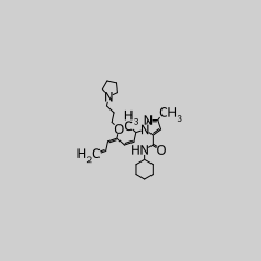 C=C/C=C(\C=C/C(C)n1nc(C)cc1C(=O)NC1CCCCC1)OCCCN1CCCC1